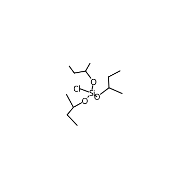 CCC(C)O[Si](Cl)(OC(C)CC)OC(C)CC